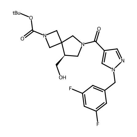 CC(C)(C)OC(=O)N1CC2(C1)CN(C(=O)c1cnn(Cc3cc(F)cc(F)c3)c1)C[C@H]2CO